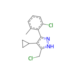 Cc1cccc(Cl)c1-c1n[nH]c(CCl)c1C1CC1